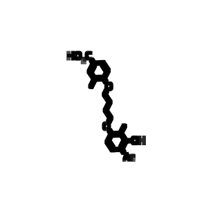 CC(=O)c1ccc(OCCCCOc2ccc(C(=O)O)cc2C)c(C)c1O